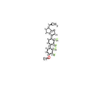 C=CC1CCC2C(c3ccc(-c4ccc(OCC)c(F)c4F)c(F)c3F)=CCC12